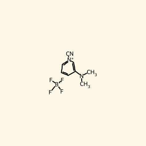 CN(C)c1ccc[n+](C#N)c1.F[B-](F)(F)F